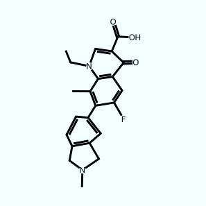 CCn1cc(C(=O)O)c(=O)c2cc(F)c(-c3ccc4c(c3)CN(C)C4)c(C)c21